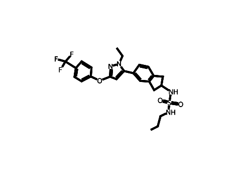 CCCNS(=O)(=O)NC1Cc2ccc(-c3cc(Oc4ccc(C(F)(F)F)cc4)nn3CC)cc2C1